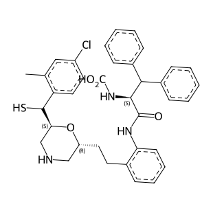 Cc1cc(Cl)ccc1C(S)[C@@H]1CNC[C@@H](CCc2ccccc2NC(=O)[C@@H](NC(=O)O)C(c2ccccc2)c2ccccc2)O1